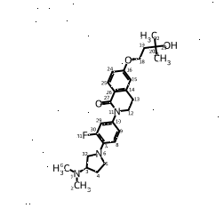 CN(C)[C@@H]1CCN(c2ccc(N3CCc4cc(OCCC(C)(C)O)ccc4C3=O)cc2F)C1